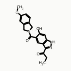 CCC(=O)c1n[nH]c2cc(O)c(C(=O)N3Cc4ccc(OC)cc4C3)cc12